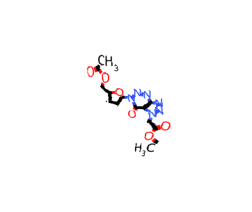 CCOC(=O)Cn1nnc2nnn(C3[CH][CH]C(COC(C)=O)O3)c(=O)c21